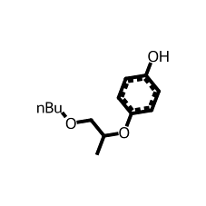 CCCCOCC(C)Oc1ccc(O)cc1